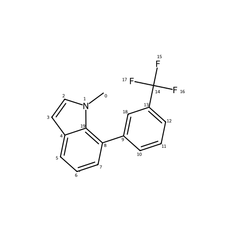 Cn1ccc2c[c]cc(-c3cccc(C(F)(F)F)c3)c21